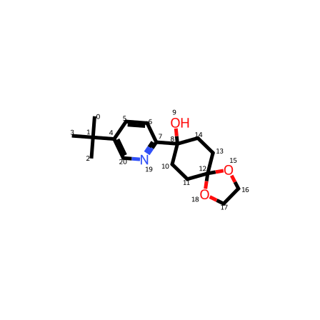 CC(C)(C)c1ccc(C2(O)CCC3(CC2)OCCO3)nc1